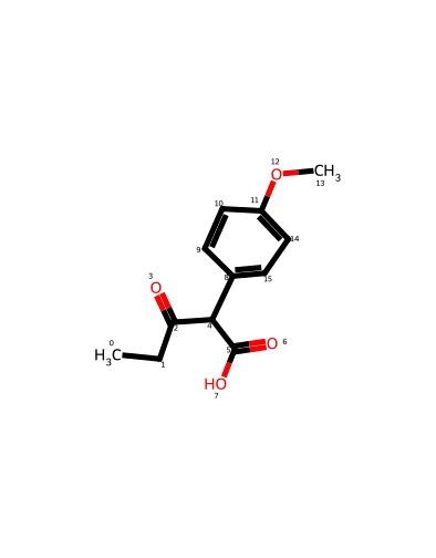 CCC(=O)C(C(=O)O)c1ccc(OC)cc1